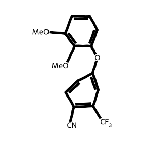 COc1cccc(Oc2ccc(C#N)c(C(F)(F)F)c2)c1OC